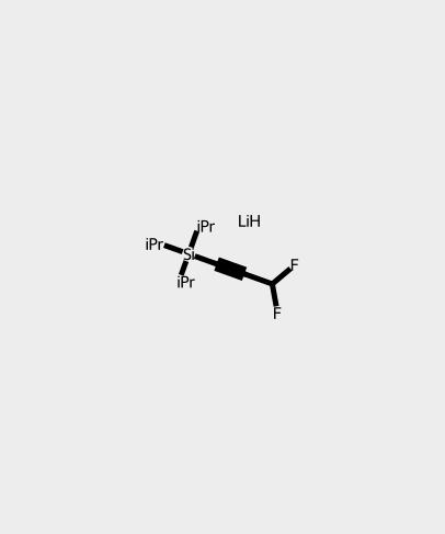 CC(C)[Si](C#CC(F)F)(C(C)C)C(C)C.[LiH]